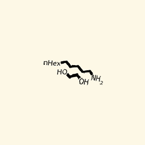 CCCCCCCCCCCN.OCCO